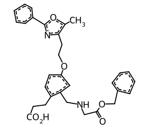 Cc1oc(-c2ccccc2)nc1CCOc1ccc(CCC(=O)O)c(CNCC(=O)OCc2ccccc2)c1